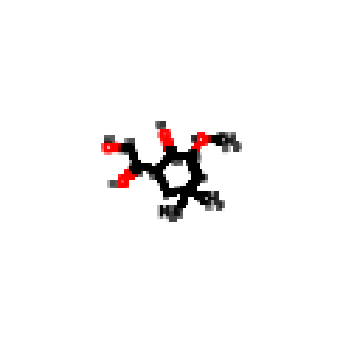 COC1=CC(C)(C)CC(C(=O)C=O)C1=O